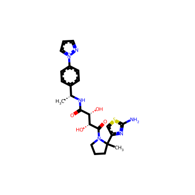 C[C@@H](NC(=O)[C@H](O)[C@@H](O)C(=O)N1CCCC1(C)c1csc(N)n1)c1ccc(-n2cccn2)cc1